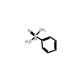 C[SH](C)(=O)c1ccccc1